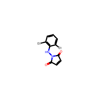 CCc1c[c]cc(CC)c1NN1C(=O)C=CC1=O